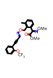 CO/N=C(/C(=O)OC)c1cccc(C)c1CO/N=C/C#Cc1ccccc1OC(F)(F)F